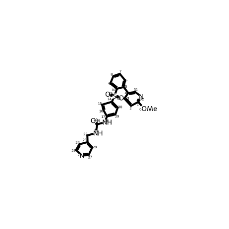 COc1ccc(-c2ccccc2S(=O)(=O)c2ccc(NC(=O)NCc3ccncc3)cc2)cn1